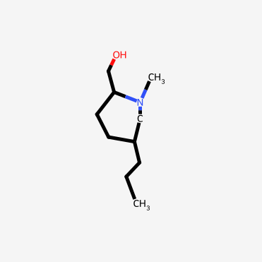 CCCC1CCC(CO)N(C)C1